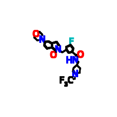 O=C(NCC1CCN(CC(F)(F)F)CC1)c1cc(F)cc(Cn2ccc3cc(N4CCOCC4)ccc3c2=O)c1